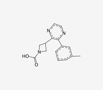 Cc1cccc(-c2nccnc2C2CN(C(=O)O)C2)c1